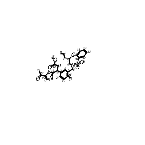 CCC[C@@H]1CN(Cc2cc(C(CC(=O)OC)c3ncc(C(C)=O)s3)ccc2C)S(=O)(=O)c2ccccc2O1